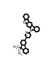 CC1(C)c2ccccc2-c2cc(-c3ccc(-n4c5ccccc5c5cc6c(cc54)oc4ccccc46)nc3)ccc21